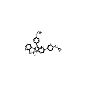 Nc1ncccc1-c1nc2ccc(-c3ccc(OC4CC4)nc3)nc2n1-c1ccc(CO)cc1